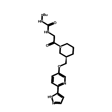 CCCCNC(=O)NCC(=O)N1CCC[C@@H](COc2ccc(-c3ccn[nH]3)nc2)C1